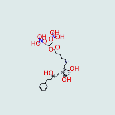 O=C(CCC/C=C\C[C@@H]1[C@@H](CC[C@@H](O)CCc2ccccc2)[C@H](O)C[C@@H]1O)OC(CON(O)O)CON(O)O